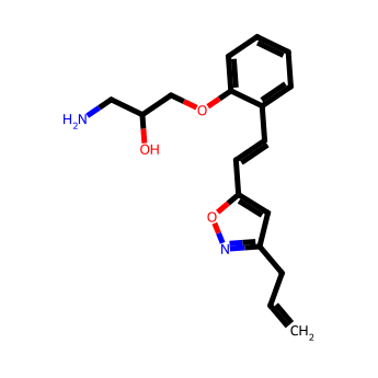 C=CCc1cc(/C=C/c2ccccc2OCC(O)CN)on1